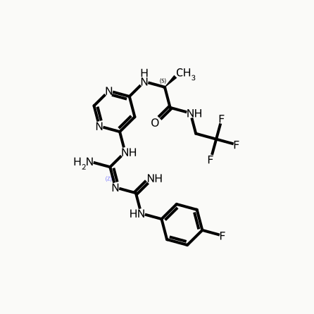 C[C@H](Nc1cc(N/C(N)=N\C(=N)Nc2ccc(F)cc2)ncn1)C(=O)NCC(F)(F)F